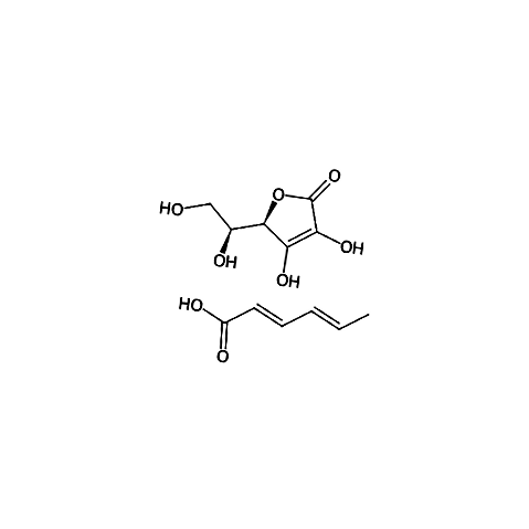 C/C=C/C=C/C(=O)O.O=C1O[C@H]([C@@H](O)CO)C(O)=C1O